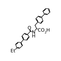 CCc1ccc(-c2ccc(C(=O)N[C@@H](Cc3ccc(-c4ccccc4)cc3)C(=O)O)cc2)cc1